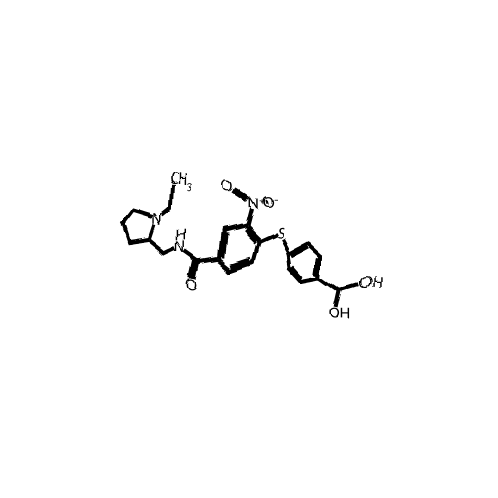 CCN1CCCC1CNC(=O)c1ccc(Sc2ccc(C(O)O)cc2)c([N+](=O)[O-])c1